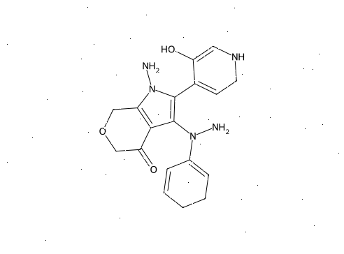 NN(C1=CCCC=C1)c1c2c(n(N)c1C1=CCNC=C1O)COCC2=O